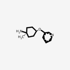 C[C@]1(N)CC[C@H](Oc2cccnc2)CC1